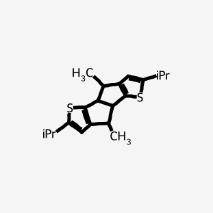 CC(C)c1cc2c(s1)C1C(C)c3cc(C(C)C)sc3C1C2C